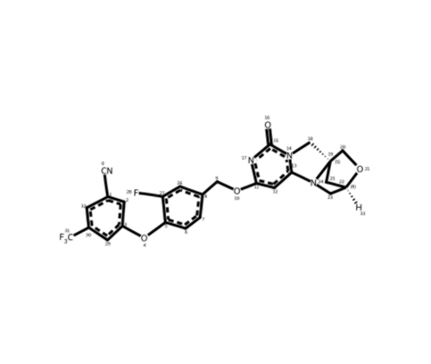 N#Cc1cc(Oc2ccc(COc3cc4n(c(=O)n3)C[C@@]35CO[C@@H](CN43)C5)cc2F)cc(C(F)(F)F)c1